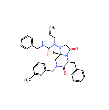 C=CCN(C(=O)NCc1ccccc1)N1CC(=O)N2[C@@H](Cc3ccccc3)C(=O)N(Cc3cccc(C)c3)C[C@@H]21